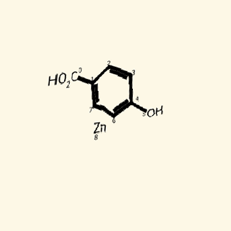 O=C(O)c1ccc(O)cc1.[Zn]